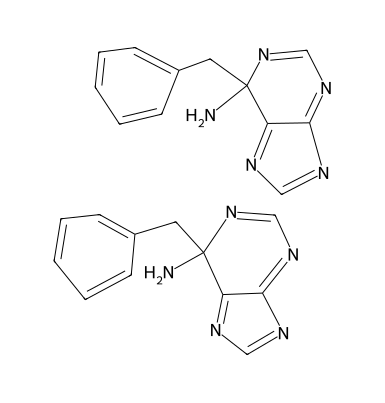 NC1(Cc2ccccc2)N=CN=C2N=CN=C21.NC1(Cc2ccccc2)N=CN=C2N=CN=C21